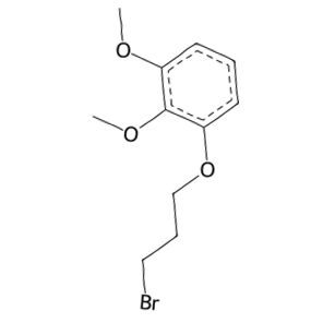 COc1cccc(OCCCBr)c1OC